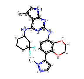 Cn1nccc1-c1ccc(Nc2nc(NC3CCCC(F)(F)C3)c3c(C#N)c[nH]c3n2)c2c1OCCO2